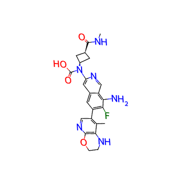 CNC(=O)[C@H]1C[C@@H](N(C(=O)O)c2cc3cc(-c4cnc5c(c4C)NCCO5)c(F)c(N)c3cn2)C1